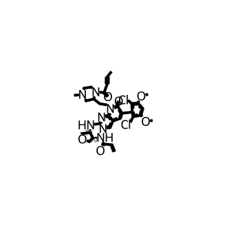 C=CC(=O)N[C@H]1COC[C@H]1Nc1ncc2cc(-c3c(Cl)c(OC)cc(OC)c3Cl)c(=O)n(CCC3CN(C)CCN3C(=O)C#CC)c2n1